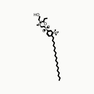 CCCCCCCCCCCCCCCCCCc1ccc(S(=O)(=O)CCN(C)N(CCO)C(=O)CC)c[c]1[Sn]([CH3])([CH3])[CH3]